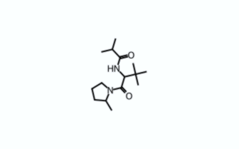 CC(C)C(=O)NC(C(=O)N1CCCC1C)C(C)(C)C